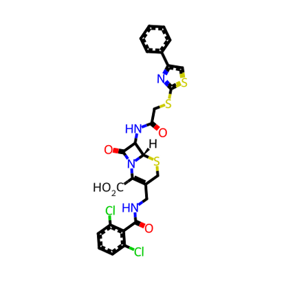 O=C(CSc1nc(-c2ccccc2)cs1)NC1C(=O)N2C(C(=O)O)=C(CNC(=O)c3c(Cl)cccc3Cl)CS[C@@H]12